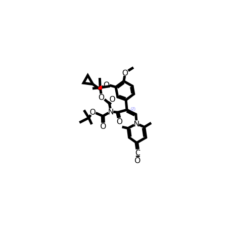 COc1ccc(/C(=C/N2C(C)=CC(=C=O)C=C2C)C(=O)N(C(=O)OC(C)(C)C)C(=O)OC(C)(C)C)cc1OCC1CC1